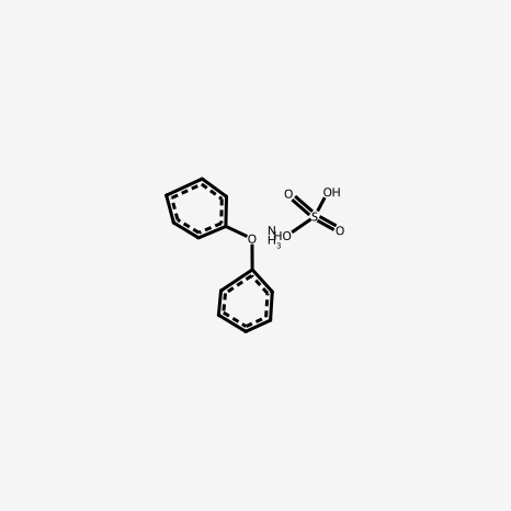 N.O=S(=O)(O)O.c1ccc(Oc2ccccc2)cc1